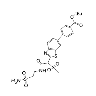 CC(C)(C)OC(=O)c1ccc(-c2ccc3nc(C(C(=O)NCCS(N)(=O)=O)S(C)(=O)=O)sc3c2)cc1